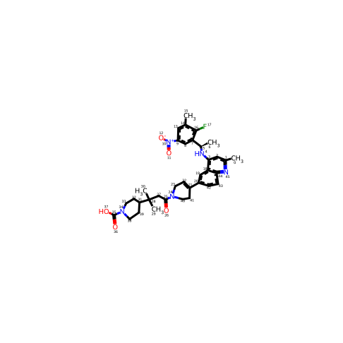 Cc1cc(N[C@H](C)c2cc([N+](=O)[O-])cc(C)c2F)c2cc(C3=CCN(C(=O)CC(C)(C)C4CCN(C(=O)O)CC4)CC3)ccc2n1